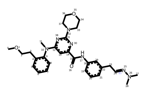 COCCc1ccccc1N(C)c1cc(C(=O)Nc2cccc(C/C=N/N(C)C)c2)nc(N2CCOCC2)n1